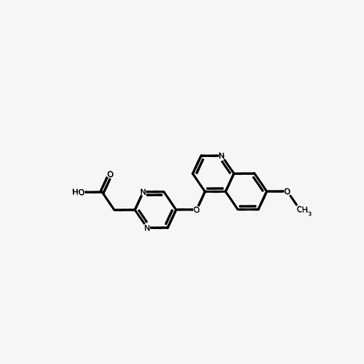 COc1ccc2c(Oc3cnc(CC(=O)O)nc3)ccnc2c1